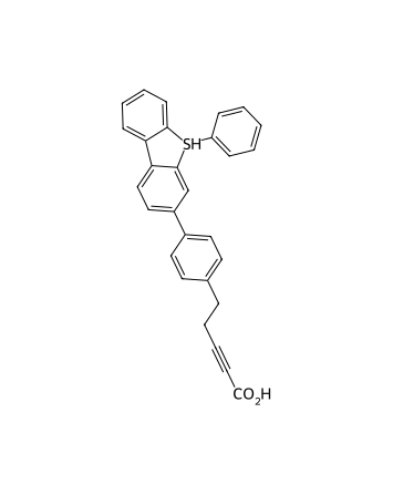 O=C(O)C#CCCc1ccc(-c2ccc3c(c2)[SH](c2ccccc2)c2ccccc2-3)cc1